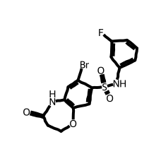 O=C1CCOc2cc(S(=O)(=O)Nc3cccc(F)c3)c(Br)cc2N1